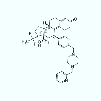 C[C@]12C[C@H](c3ccc(CN4CCN(Cc5ccccn5)CC4)cc3)C3=C4CCC(=O)C=C4CC[C@H]3[C@@H]1CC[C@]2(O)C(F)(F)C(F)(F)F